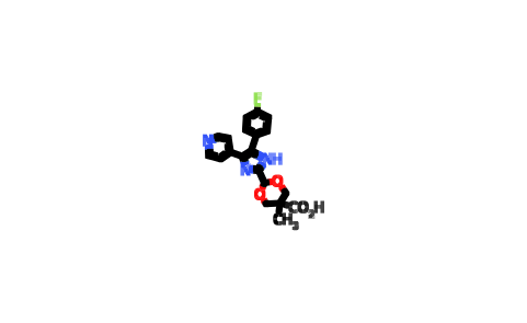 CC1(C(=O)O)COC(c2nc(-c3ccncc3)c(-c3ccc(F)cc3)[nH]2)OC1